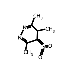 CC1=NN=C(C)C(C)C1=S(=O)=O